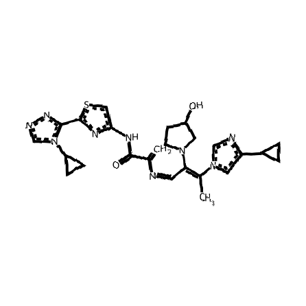 C=C(/N=C\C(=C(/C)n1cnc(C2CC2)c1)N1CCC(O)C1)C(=O)Nc1csc(-c2nncn2C2CC2)n1